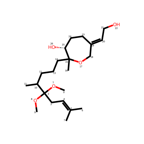 COC(CC=C(C)C)(OC)C(C)CCCC1(C)OC/C(=C/CO)CC[C@H]1O